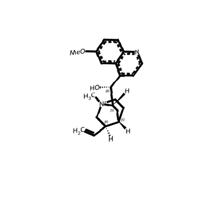 C=C[C@H]1C[N+]2(C)CC[C@H]1C[C@H]2[C@H](O)c1ccnc2ccc(OC)cc12